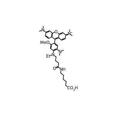 CCN(CCCC(=O)NCCCCCC(=O)O)c1cc(OC)c(-c2c3ccc(=[N+](C)C)cc-3oc3cc(N(C)C)ccc23)cc1N(C)C